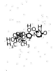 CCC(C)(O)P(=O)(O)OC(C)(C)C[C@H]1C[C@@H](n2ccc(=O)[nH]c2=O)[C@H](O)[C@@H]1O